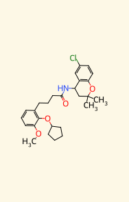 COc1cccc(CCCC(=O)NC2CC(C)(C)Oc3ccc(Cl)cc32)c1OC1CCCC1